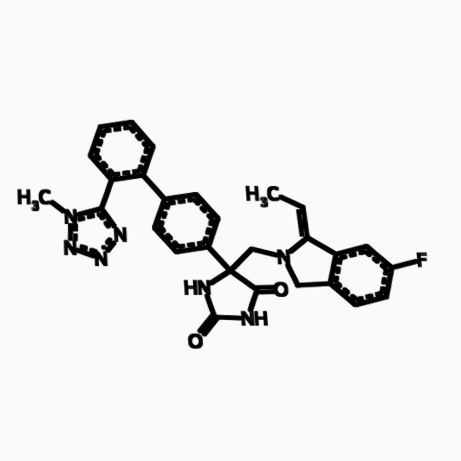 CC=C1c2cc(F)ccc2CN1CC1(c2ccc(-c3ccccc3-c3nnnn3C)cc2)NC(=O)NC1=O